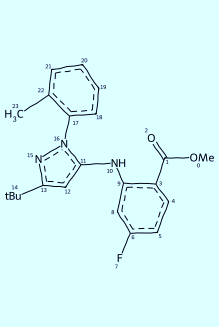 COC(=O)c1ccc(F)cc1Nc1cc(C(C)(C)C)nn1-c1ccccc1C